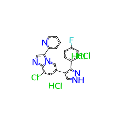 Cl.Cl.Cl.Fc1ccc(-c2n[nH]cc2-c2cc(Cl)c3ncc(-c4ccccn4)n3c2)cc1